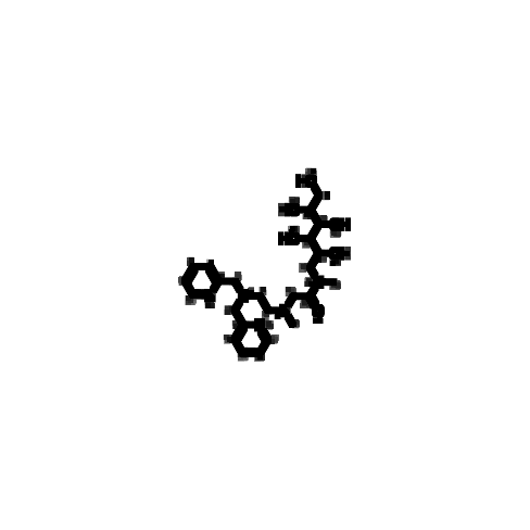 CN(CCN(Cc1ccccn1)Cc1ccccn1)CC(=O)N(C)CC(O)C(O)C(O)C(O)CO